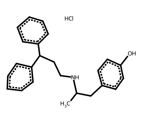 CC(Cc1ccc(O)cc1)NCCC(c1ccccc1)c1ccccc1.Cl